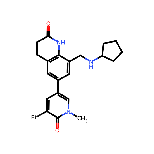 CCc1cc(-c2cc3c(c(CNC4CCCC4)c2)NC(=O)CC3)cn(C)c1=O